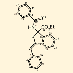 CCOC(=O)C(C/C=C/c1ccccc1)(NC(=O)c1ccccc1)c1ccccc1